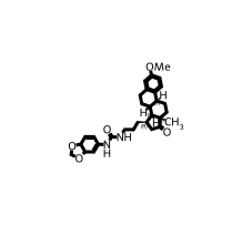 COc1ccc2c(c1)CC[C@H]1[C@@H]3[C@H](CCCNC(=O)NC4=CC5OCOC5C=C4)CC(=O)[C@@]3(C)CC[C@H]21